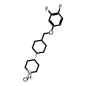 Fc1ccc(OCC2CCC([C@H]3CC[Si@H](Cl)CC3)CC2)cc1F